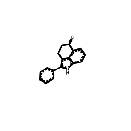 O=C1CCc2c(-c3ccccc3)[nH]c3cccc1c23